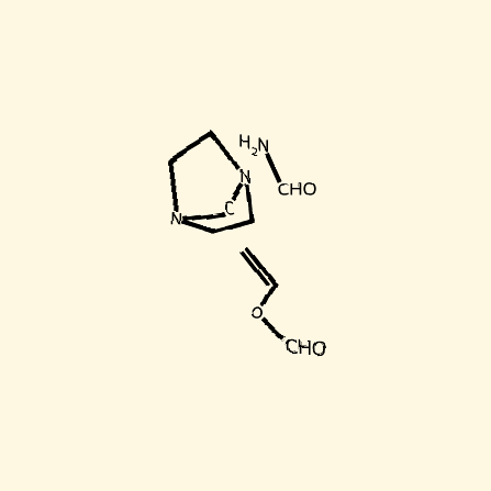 C1CN2CCN1CC2.C=COC=O.NC=O